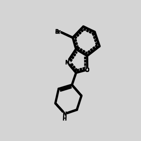 Brc1cccc2oc(C3=CCNCC3)nc12